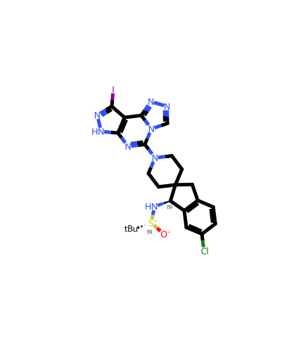 CC(C)(C)[S@@+]([O-])N[C@@H]1c2cc(Cl)ccc2CC12CCN(c1nc3[nH]nc(I)c3c3nncn13)CC2